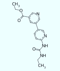 CCNC(=O)Nc1ccc(-c2cncc(C(=O)OCC)c2)cn1